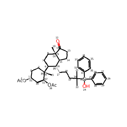 CC(=O)O[C@H]1CC[C@](C)(C2CC[C@]3(C)C(=O)CCC3[C@@H]2CCCC(C)(C)[Si](O)(c2ccccc2)c2ccccc2)[C@@H](OC(C)=O)C1